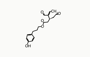 C/C=C(/C=O)[C@@H](CC=O)CC(=O)OCCCc1ccc(O)cc1